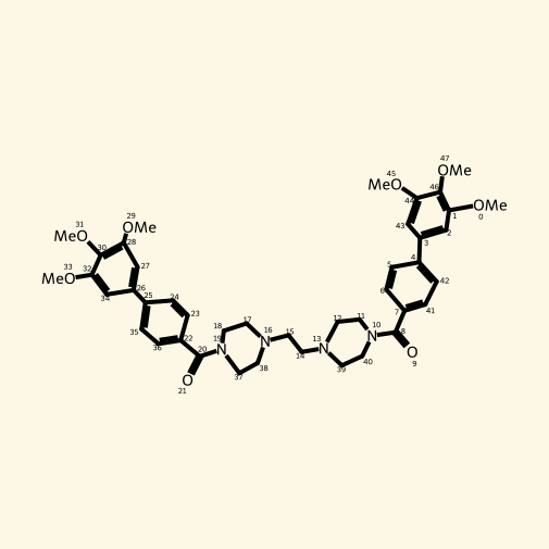 COc1cc(-c2ccc(C(=O)N3CCN(CCN4CCN(C(=O)c5ccc(-c6cc(OC)c(OC)c(OC)c6)cc5)CC4)CC3)cc2)cc(OC)c1OC